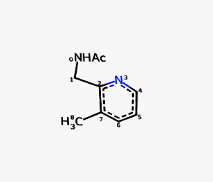 CC(=O)NCc1ncccc1C